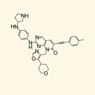 Cc1ccc(C#Cc2cc3cnc(Nc4ccc(NC5CCNC5)cc4)nc3n(Cc3ncoc3C3CCOCC3)c2=O)cc1